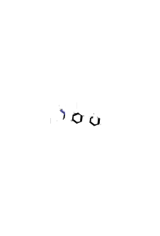 CCOC(=O)/C=C/C(C)Oc1ccc(Oc2ccc(C(F)(F)F)cn2)cc1